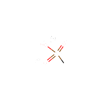 CS(=O)(=O)O.[Ag].[Sn]